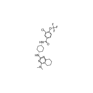 CN(C)c1nc(N[C@H]2CC[C@@H](NC(=O)c3ccc(OC(F)(F)F)c(Cl)c3)CC2)nc2c1CCCC2